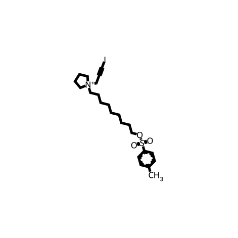 Cc1ccc(S(=O)(=O)OCCCCCCCCC[N+]2(CC#CI)CCCC2)cc1